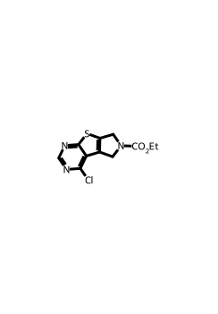 CCOC(=O)N1Cc2sc3ncnc(Cl)c3c2C1